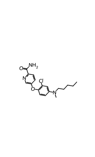 CCCCCN(C)c1ccc(Oc2ccc(C(N)=O)nc2)c(Cl)c1